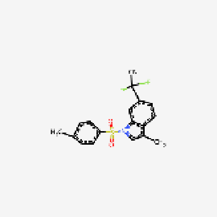 Cc1ccc(S(=O)(=O)n2cc(C)c3ccc(C(F)(F)C#N)cc32)cc1